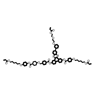 C=CC(=O)OCCCCCCOc1ccc(OC(=O)C2CCC(OCc3ccc(C(=O)Oc4ccc5c6ccc(OC(=O)c7ccc(OCCCCCCOC(=O)C=C)cc7)cc6c6nc7cc(-c8cccc(OCCOCCOC(=O)C=C)c8)ccc7nc6c5c4)cc3)CC2)cc1